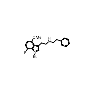 CCn1cc(CCNCCc2ccccc2)c2c(OC)ccc(F)c21